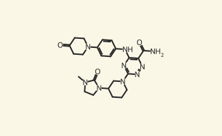 CN1CCN(C2CCCN(c3nnc(C(N)=O)c(Nc4ccc(N5CCC(=O)CC5)cc4)n3)C2)C1=O